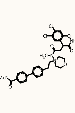 CNC(=O)c1ccc(-c2ccc(CC[N+]3(N(C)C(=O)CC4C(=O)NOc5cc(Cl)c(Cl)cc54)CCOCC3)cc2)cc1